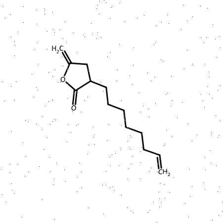 C=CCCCCCCC1CC(=C)OC1=O